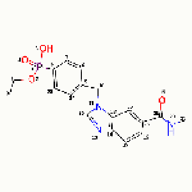 CCOP(=O)(O)c1ccc(Cn2cnc3ccc(C(=O)NC)cc32)cc1